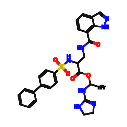 CCCC(NC1=NCCN1)OC(=O)C(CNC(=O)c1cccc2cn[nH]c12)NS(=O)(=O)c1ccc(-c2ccccc2)cc1